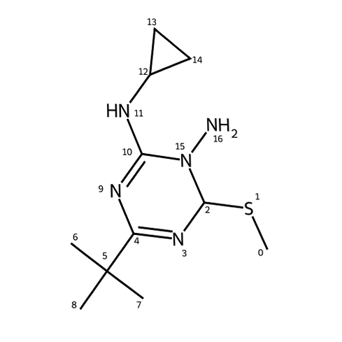 CSC1N=C(C(C)(C)C)N=C(NC2CC2)N1N